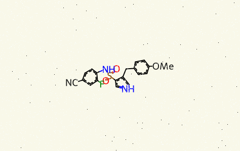 COc1ccc(Cc2c[nH]cc2S(=O)(=O)Nc2ccc(C#N)cc2F)cc1